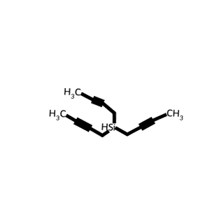 CC#CC[SiH](CC#CC)CC#CC